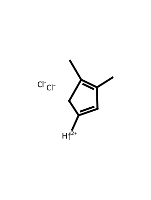 CC1=C(C)C[C]([Hf+2])=C1.[Cl-].[Cl-]